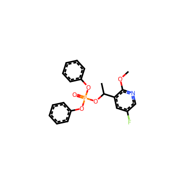 COc1ncc(F)cc1C(C)OP(=O)(Oc1ccccc1)Oc1ccccc1